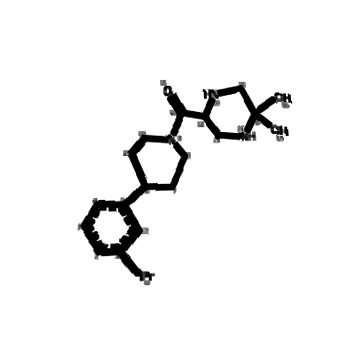 CC(C)c1cccc(C2CCN(C(=O)C3CNC(O)(O)CN3)CC2)c1